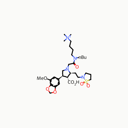 CCCCN(CCCC[N+](C)(C)C)C(=O)CN1C[C@H](c2cc(OC)c3c(c2)OCO3)[C@@H](C(=O)O)[C@@H]1CCN1CCCS1(=O)=O